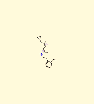 CCc1ccccc1CCN(C)/C(C)=C/C=C(/C)CC1CC1